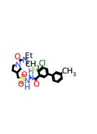 CCN(C)C(=O)N1CCC(CS(=O)(=O)NNC(=O)c2cc(-c3cccc(C)c3)cc(Cl)c2F)C1